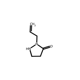 C=CCN1NCCC1=O